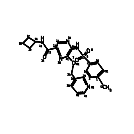 Cc1ccc(S(=O)(=O)Nc2ncc(C(=O)NC3CCC3)nc2OCc2cccnc2)cc1